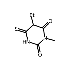 CCC1C(=O)N(C)C(=O)NC1=S